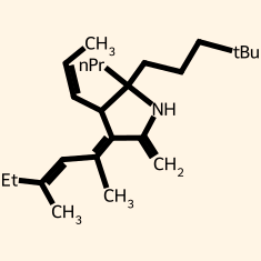 C=C1NC(CCC)(CCCC(C)(C)C)C(/C=C\C)/C1=C(C)\C=C(/C)CC